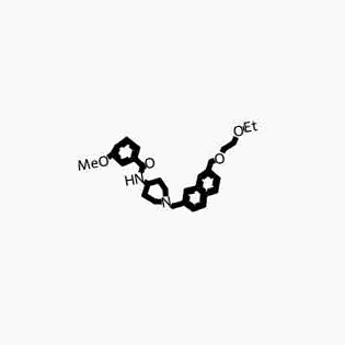 CCOCCOCc1ccc2ccc(CN3CCC(NC(=O)c4cccc(OC)c4)CC3)cc2c1